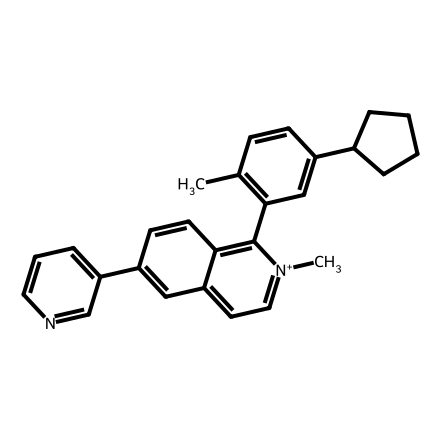 Cc1ccc(C2CCCC2)cc1-c1c2ccc(-c3cccnc3)cc2cc[n+]1C